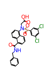 O=C(O)CN(c1cccc2c(C(=O)NCc3ccccc3)cccc12)S(=O)(=O)c1cc(Cl)cc(Cl)c1